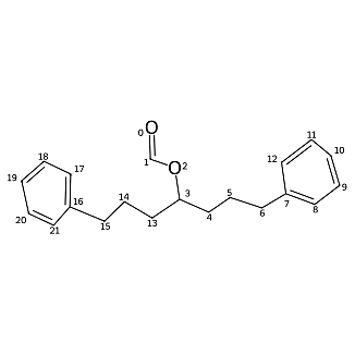 O=COC(CCCc1ccccc1)CCCc1ccccc1